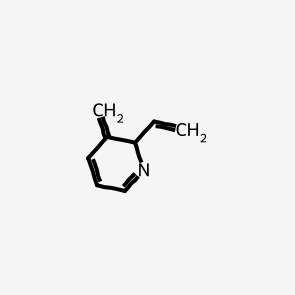 C=CC1N=CC=CC1=C